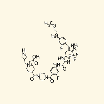 COCCNc1ccc(-c2[nH]nc(C(F)(F)F)c2Cc2cnc(C(=O)Nc3ccc(C(=O)N4CCN(C(=O)C5CC[N+](CC(=O)O)(CC6CNC6)CC5)CC4)c(F)c3)[nH]2)c(F)c1